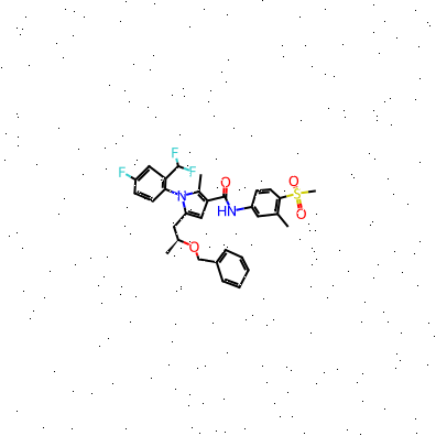 Cc1cc(NC(=O)c2cc(C[C@H](C)OCc3ccccc3)n(-c3ccc(F)cc3C(F)F)c2C)ccc1S(C)(=O)=O